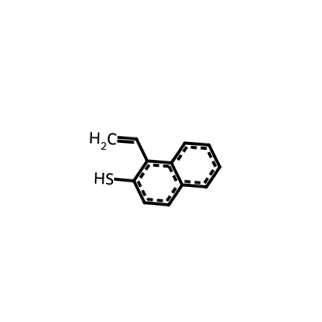 C=Cc1c(S)ccc2ccccc12